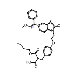 CCCCOC(=O)C(Cc1ccc(OCCn2c(=O)sc3cc(/C(=N/OC)c4ccccc4)ccc32)cc1)C(=O)O